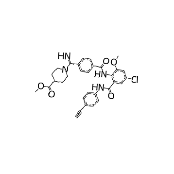 C#Cc1ccc(NC(=O)c2cc(Cl)cc(OC)c2NC(=O)c2ccc(C(=N)N3CCC(C(=O)OC)CC3)cc2)cc1